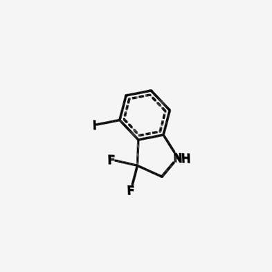 FC1(F)CNc2cccc(I)c21